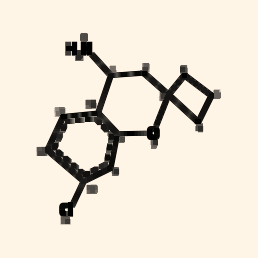 NC1CC2(CCC2)Oc2cc(Cl)ccc21